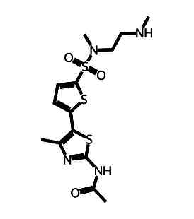 CNCCN(C)S(=O)(=O)c1ccc(-c2sc(NC(C)=O)nc2C)s1